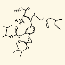 CCC(C)CC(=O)OCC(C)C(c1ccc(OC(=O)OC(C)C(C)C)c(OC(=O)OC(C)C(C)C)c1)[C@H](N)C(=O)O